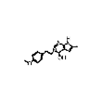 COc1ccc(CCN2C=Nc3[nH]c(C)cc3C2O)cc1